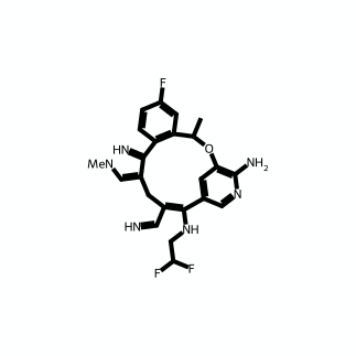 CN/C=C1/C/C(C=N)=C(/NCC(F)F)c2cnc(N)c(c2)OC(C)c2cc(F)ccc2C1=N